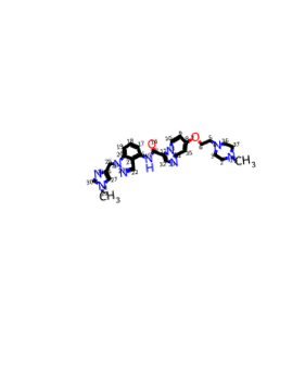 CN1CCN(CCOc2ccn3c(C(=O)Nc4cccc5c4cnn5Cc4cn(C)cn4)cnc3c2)CC1